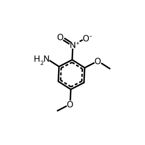 COc1cc(N)c([N+](=O)[O-])c(OC)c1